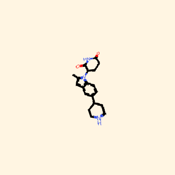 Cc1cc2cc(C3CCNCC3)ccc2n1C1CCC(=O)NC1=O